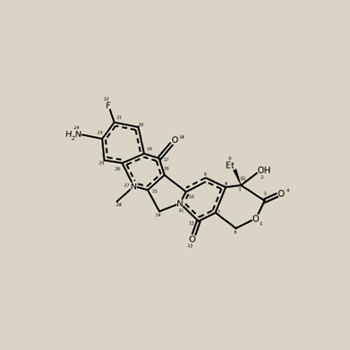 CC[C@@]1(O)C(=O)OCc2c1cc1n(c2=O)Cc2c-1c(=O)c1cc(F)c(N)cc1n2C